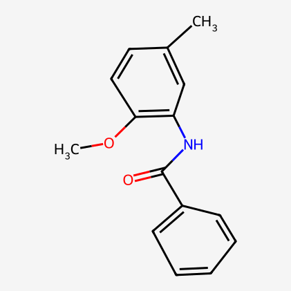 COc1ccc(C)cc1NC(=O)c1ccccc1